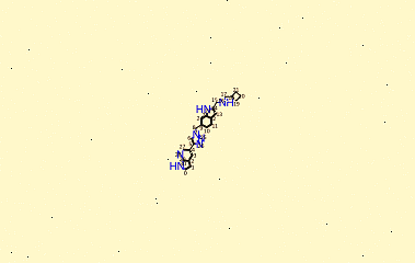 c1cc2cc(-c3cn(Cc4ccc5cc(CNCC6CCC6)[nH]c5c4)nn3)cnc2[nH]1